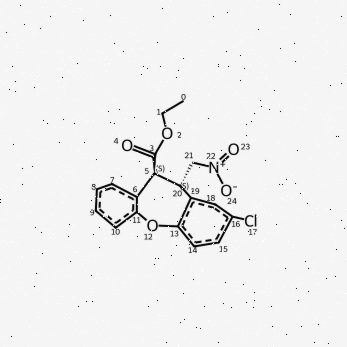 CCOC(=O)[C@@H]1c2ccccc2Oc2ccc(Cl)cc2[C@H]1C[N+](=O)[O-]